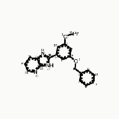 CC(C)Oc1cc(OCc2ccccc2)cc(-c2nc3cccnc3[nH]2)c1